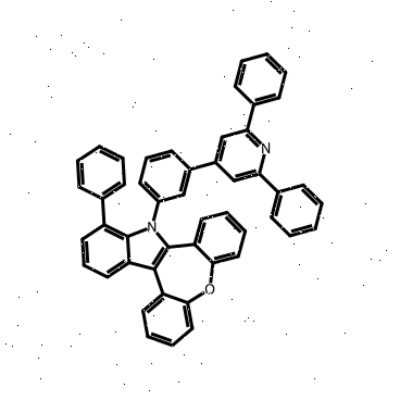 c1ccc(-c2cc(-c3cccc(-n4c5c(c6cccc(-c7ccccc7)c64)-c4ccccc4Oc4ccccc4-5)c3)cc(-c3ccccc3)n2)cc1